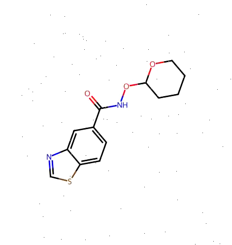 O=C(NOC1CCCCO1)c1ccc2scnc2c1